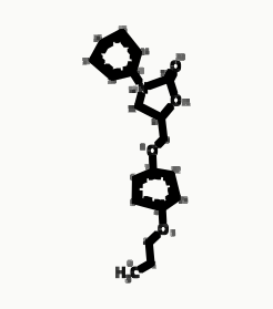 CCCOc1ccc(OCC2CN(c3ccccc3)C(=O)O2)cc1